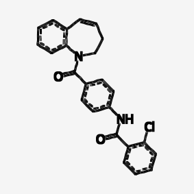 O=C(Nc1ccc(C(=O)N2CCC=Cc3ccccc32)cc1)c1ccccc1Cl